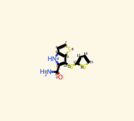 NC(=O)c1[nH]c2ccsc2c1Sc1cccs1